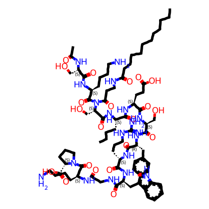 CCCCCCCCCCCC(=O)NCCC(=O)N(C(=O)[C@H](CCCCN)NC(=O)[C@H](CO)NC(C)=O)[C@@H](CO)C(=O)N[C@@H](CCCC)C(=O)N[C@@H](CCC(=O)O)C(=O)N[C@@H](CO)C(=O)N[C@H](Cc1ccccc1)C(=O)N[C@@H](CCCNC(=N)N)C(=O)N[C@@H](Cc1c[nH]c2ccccc12)C(=O)NCC(=O)N[C@@H](CCCCN)C(=O)N1CCC[C@H]1C(=O)O